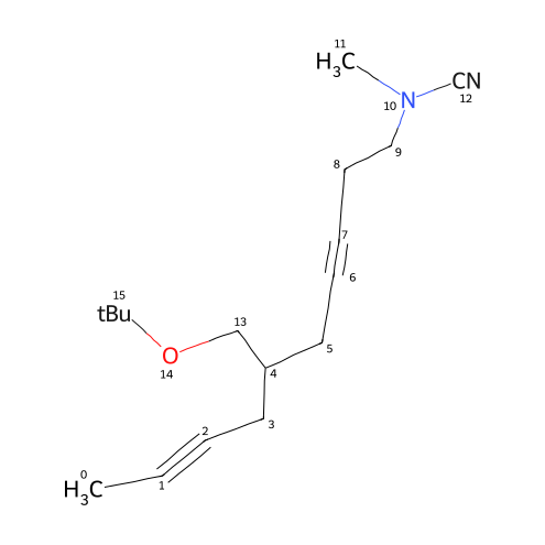 CC#CCC(CC#CCCN(C)C#N)COC(C)(C)C